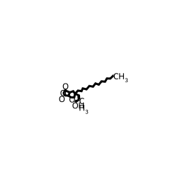 CCCCCCCCCCCCCCC1(C=C(C)C(=O)O)CCC2C(=O)OC(=O)C2C1